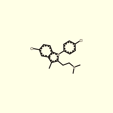 Cc1c(CCN(C)C)n(-c2ccc(Cl)cc2)c2ccc(Cl)cc12